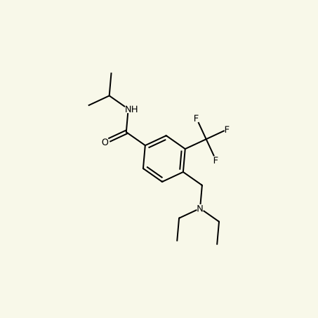 CCN(CC)Cc1ccc(C(=O)NC(C)C)cc1C(F)(F)F